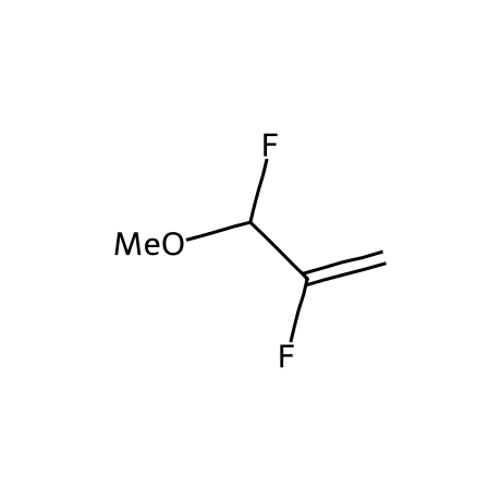 C=C(F)C(F)OC